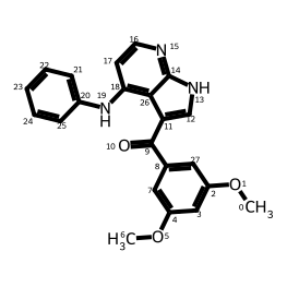 COc1cc(OC)cc(C(=O)c2c[nH]c3nccc(Nc4ccccc4)c23)c1